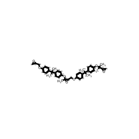 CC(C)(c1ccc(OCC2OC2(C)Oc2ccc(C(C)(C)c3ccc(OCC4CO4)cc3)cc2)cc1)c1ccc(OC(C)(C)C2CO2)cc1